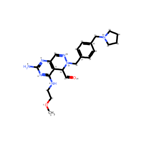 COCCNc1nc(N)nc2c1C(C=O)N(Cc1ccc(CN3CCCC3)cc1)N=C2